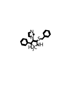 CNC(SCc1ccccc1)=C(C(=O)c1ccccc1)n1ccnc1